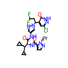 CC(C)n1nccc1C(=O)N[C@H](C(=O)Nc1cnn(C(CC(F)F)c2cc(Cl)n[nH]c2=O)c1)C(C1CC1)C1CC1